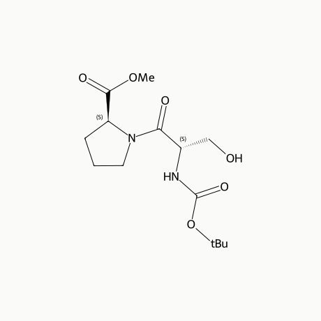 COC(=O)[C@@H]1CCCN1C(=O)[C@H](CO)NC(=O)OC(C)(C)C